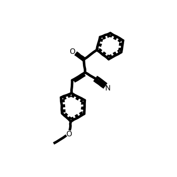 COc1ccc(/C=C(\C#N)C(=O)c2ccccc2)cc1